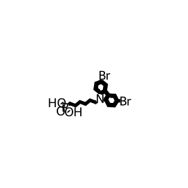 O=P(O)(O)CCCCCCn1c2ccc(Br)cc2c2cc(Br)ccc21